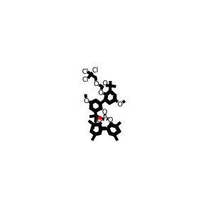 COc1cc(-c2cc(OC)cc(C(C)(C)C)c2Op2oc3c(C)cc(C)cc3c3cc(C)cc(C)c3o2)c(OC(=O)OCC(Cl)(Cl)Cl)c(C(C)(C)C)c1